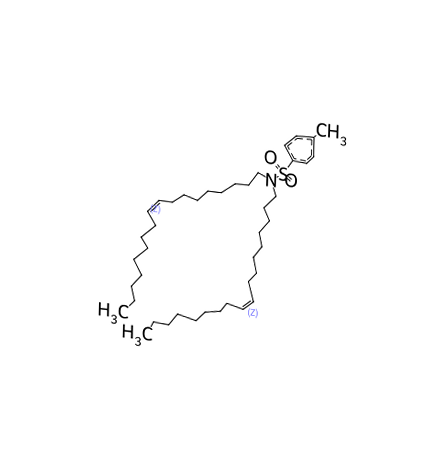 CCCCCCCC/C=C\CCCCCCCCN(CCCCCCCC/C=C\CCCCCCCC)S(=O)(=O)c1ccc(C)cc1